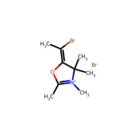 CC1=[N+](C)C(C)(C)/C(=C(/C)Br)O1.[Br-]